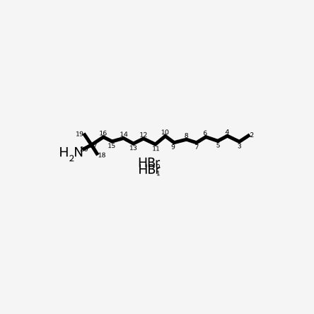 Br.Br.CCCCCCCCCCCCCCCC(C)(C)N